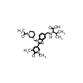 CC(=O)N1CCC[C@H](Cn2c(-c3cc(C)c(=O)n(C)c3)nc3cc(CN[C@H](C(=O)O)C(C)C)ccc32)C1